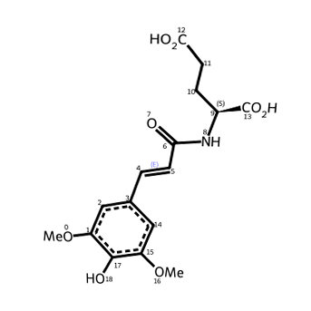 COc1cc(/C=C/C(=O)N[C@@H](CCC(=O)O)C(=O)O)cc(OC)c1O